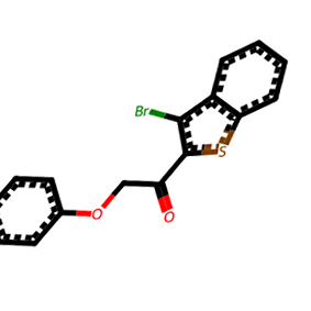 O=C(COc1ccccc1)c1sc2ccccc2c1Br